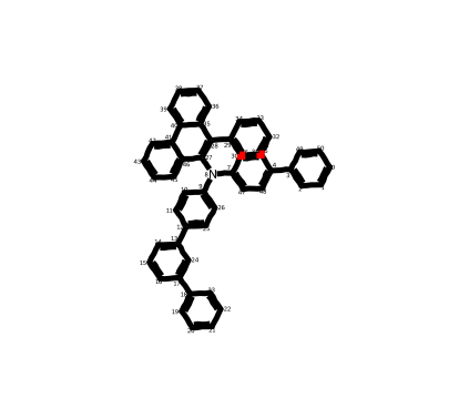 c1ccc(-c2ccc(N(c3ccc(-c4cccc(-c5ccccc5)c4)cc3)c3c(-c4ccccc4)c4ccccc4c4ccccc34)cc2)cc1